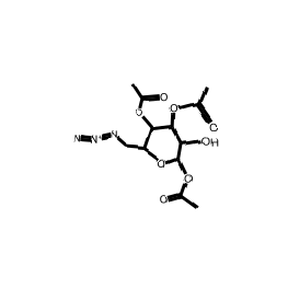 CC(=O)OC1OC(CN=[N+]=[N-])C(OC(C)=O)C(OC(C)=O)C1O